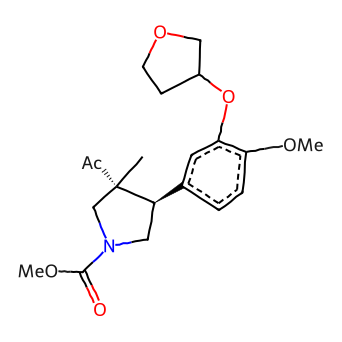 COC(=O)N1C[C@H](c2ccc(OC)c(OC3CCOC3)c2)[C@@](C)(C(C)=O)C1